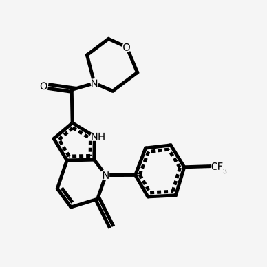 C=C1C=Cc2cc(C(=O)N3CCOCC3)[nH]c2N1c1ccc(C(F)(F)F)cc1